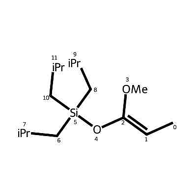 C/C=C(\OC)O[Si](CC(C)C)(CC(C)C)CC(C)C